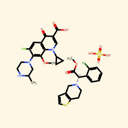 COC(=O)[C@H](c1ccccc1Cl)N1CCc2sccc2C1.COc1c(N2CCNC(C)C2)c(F)cc2c(=O)c(C(=O)O)cn(C3CC3)c12.O=S(=O)(O)O